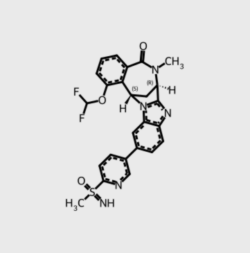 CN1C(=O)c2cccc(OC(F)F)c2[C@@H]2C[C@@H]1c1nc3ccc(-c4ccc(S(C)(=N)=O)nc4)cc3n12